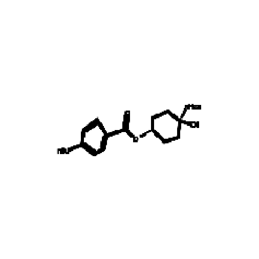 CCCCCC[C@]1(C#N)CC[C@H](OC(=O)c2ccc(CCCC)cc2)CC1